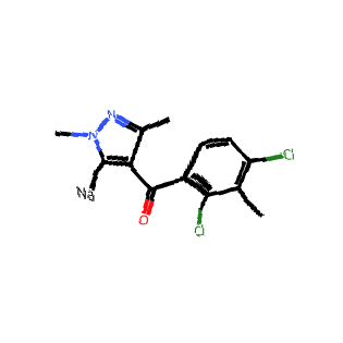 Cc1nn(C)[c]([Na])c1C(=O)c1ccc(Cl)c(C)c1Cl